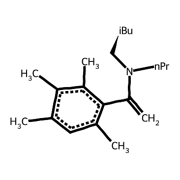 C=C(c1c(C)cc(C)c(C)c1C)N(CCC)C[C@H](C)CC